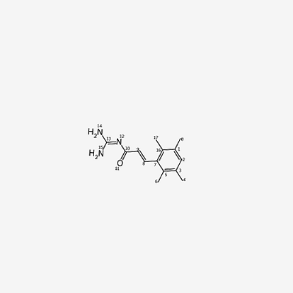 Cc1cc(C)c(C)c(/C=C/C(=O)N=C(N)N)c1C